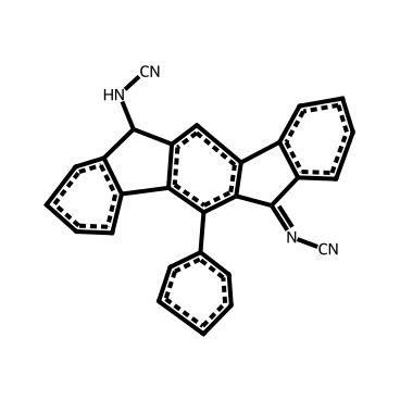 N#C/N=C1\c2ccccc2-c2cc3c(c(-c4ccccc4)c21)-c1ccccc1C3NC#N